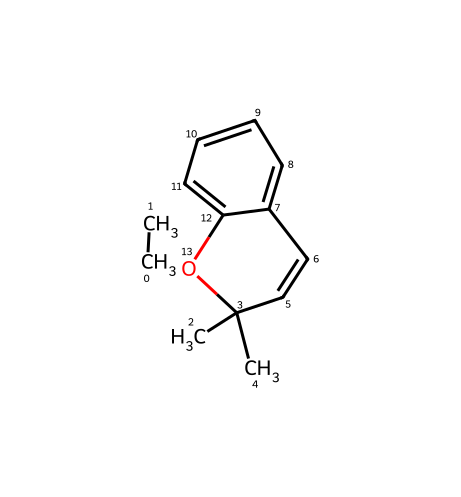 CC.CC1(C)C=Cc2ccccc2O1